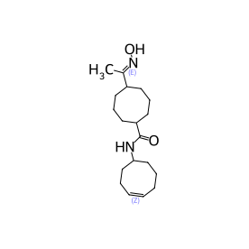 C/C(=N\O)C1CCCC(C(=O)NC2CC/C=C\CCC2)CCC1